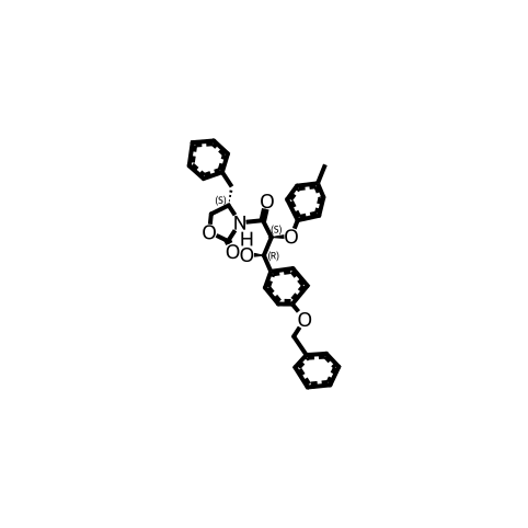 Cc1ccc(O[C@H](C(=O)N2C(=O)OC[C@@H]2Cc2ccccc2)[C@H](O)c2ccc(OCc3ccccc3)cc2)cc1